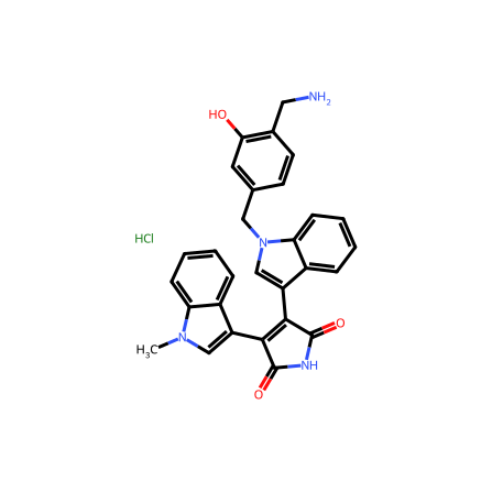 Cl.Cn1cc(C2=C(c3cn(Cc4ccc(CN)c(O)c4)c4ccccc34)C(=O)NC2=O)c2ccccc21